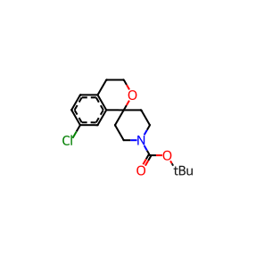 CC(C)(C)OC(=O)N1CCC2(CC1)OCCc1ccc(Cl)cc12